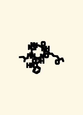 CCC(=O)CCCCC[C@@H]1NC(=O)Cn2cc(nn2)[C@H](CCC(C)CC)NC(=O)[C@H](Cc2c[nH]c3ccccc23)NC1=O